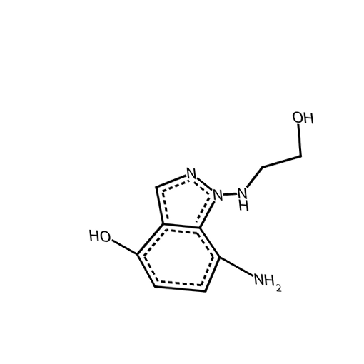 Nc1ccc(O)c2cnn(NCCO)c12